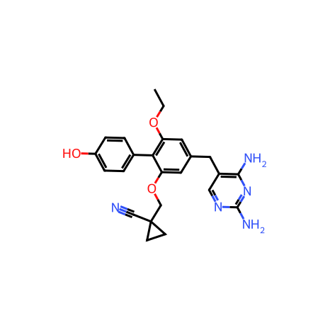 CCOc1cc(Cc2cnc(N)nc2N)cc(OCC2(C#N)CC2)c1-c1ccc(O)cc1